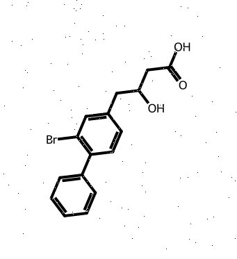 O=C(O)CC(O)Cc1ccc(-c2ccccc2)c(Br)c1